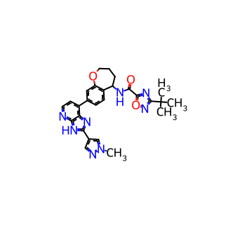 Cn1cc(-c2nc3c(-c4ccc5c(c4)OCCCC5NC(=O)c4nc(C(C)(C)C)no4)ccnc3[nH]2)cn1